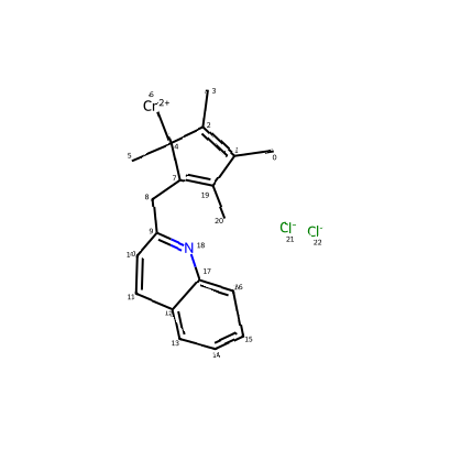 CC1=C(C)[C](C)([Cr+2])C(Cc2ccc3ccccc3n2)=C1C.[Cl-].[Cl-]